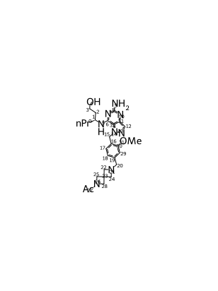 CCC[C@@H](CCO)Nc1nc(N)nc2cnn(Cc3ccc(CN4CC5(C4)CN(C(C)=O)C5)cc3OC)c12